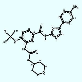 Nc1ncc(-c2nnc(NC(=O)c3ccc(OC(F)(F)F)c(NC(=O)CN4CCOCC4)c3)s2)cn1